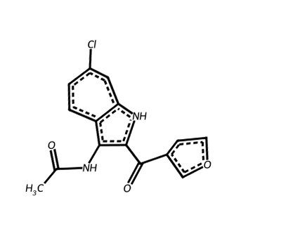 CC(=O)Nc1c(C(=O)c2ccoc2)[nH]c2cc(Cl)ccc12